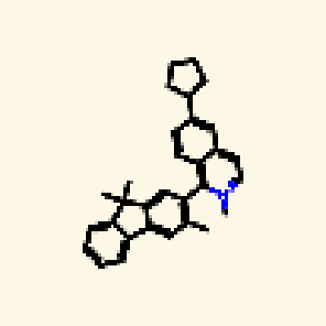 Cc1cc2c(cc1-c1c3ccc(C4CCCC4)cc3cc[n+]1C)C(C)(C)c1ccccc1-2